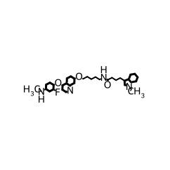 CNc1ccc(Oc2ccnc3cc(OCCCCCNC(=O)CCCc4cn(C)c5ccccc45)ccc23)c(F)c1